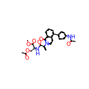 C=C(C(=O)N[C@@H](COC(C)=O)C(=O)OC)n1ccc2c(-c3ccc(NC(C)=O)cc3)cccc2c1=O